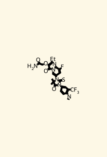 C=Nc1ccc(N2C(=O)C(C)(C)N(c3cc(F)c4nc(CC)c(OCC(N)=O)c(=O)n4c3)C2=S)cc1C(F)(F)F